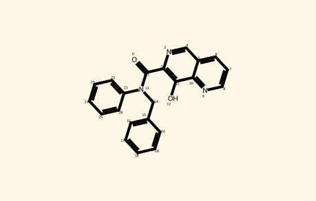 O=C(c1ncc2cccnc2c1O)N(Cc1ccccc1)c1ccccc1